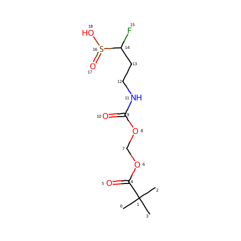 CC(C)(C)C(=O)OCOC(=O)NCCC(F)S(=O)O